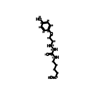 CCCCCCCCCCCCCCNC(=O)NNCCOc1ccc(O)cc1